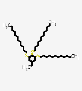 [CH2]Cc1cc(SCCCCCCCCCCCC)c(SCCCCCCCCCCCC)c(SCCCCCCCCCCCC)c1